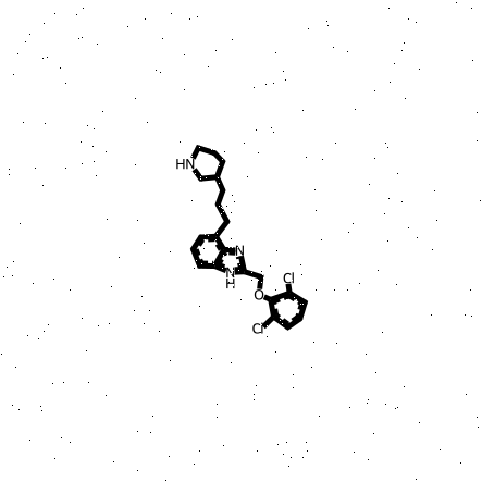 Clc1cccc(Cl)c1OCc1nc2c(CCCC3CCCNC3)cccc2[nH]1